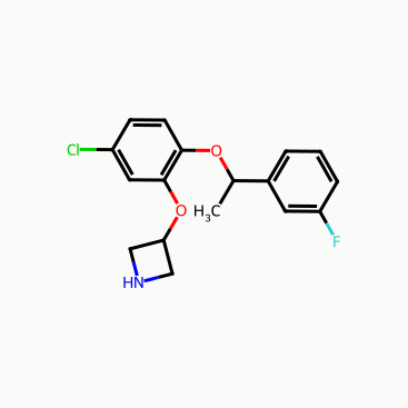 CC(Oc1ccc(Cl)cc1OC1CNC1)c1cccc(F)c1